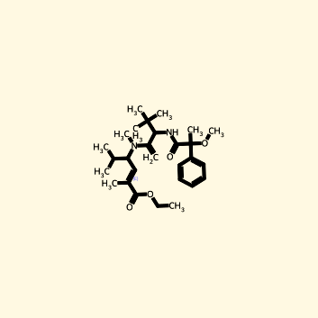 C=C(C(NC(=O)C(C)(OC)c1ccccc1)C(C)(C)C)N(C)C(/C=C(\C)C(=O)OCC)C(C)C